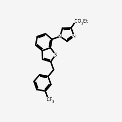 CCOC(=O)c1cn(-c2cccc3cc(Cc4cccc(C(F)(F)F)c4)sc23)cn1